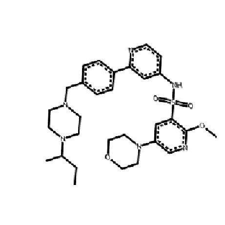 CCC(C)N1CCN(Cc2ccc(-c3cc(NS(=O)(=O)c4cc(N5CCOCC5)cnc4OC)ccn3)cc2)CC1